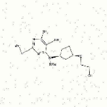 CCCSc1nc(N)c(N)c(N(NC)[C@H]2CC[C@@H](OCCO)C2)n1